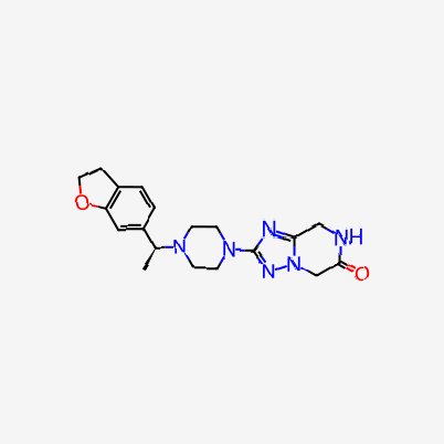 C[C@@H](c1ccc2c(c1)OCC2)N1CCN(c2nc3n(n2)CC(=O)NC3)CC1